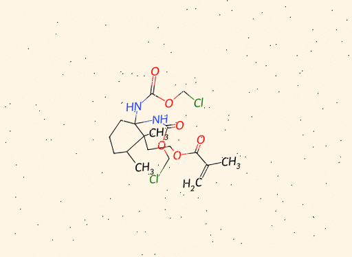 C=C(C)C(=O)OCCC1(C)C(C)CCCC1(NC(=O)OCCl)NC(=O)OCCl